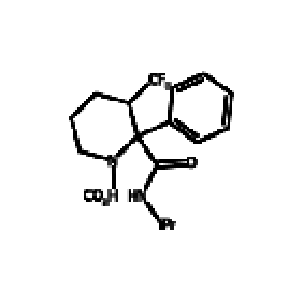 CC(C)NC(=O)C1(c2ccccc2)C(C(F)(F)F)CCCN1C(=O)O